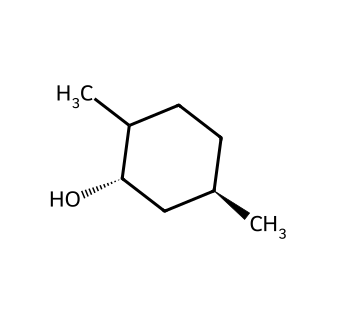 CC1CC[C@@H](C)C[C@@H]1O